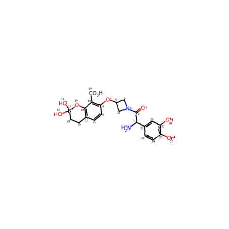 NC(C(=O)N1CC(Oc2ccc3c(c2C(=O)O)O[B-](O)(O)CC3)C1)c1ccc(O)c(O)c1